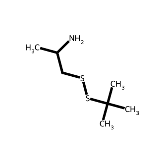 CC(N)CSSC(C)(C)C